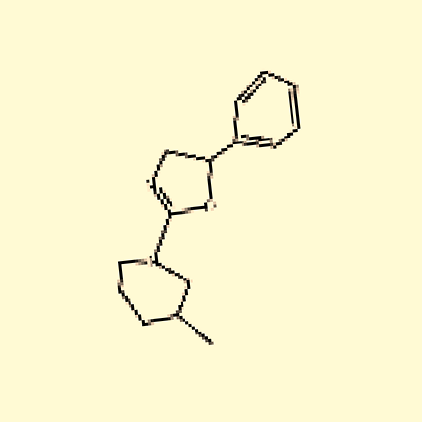 CC1CCCN(C2=NCC(c3ccccc3)O2)C1